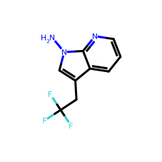 Nn1cc(CC(F)(F)F)c2cccnc21